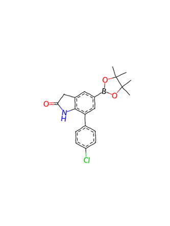 CC1(C)OB(c2cc3c(c(-c4ccc(Cl)cc4)c2)NC(=O)C3)OC1(C)C